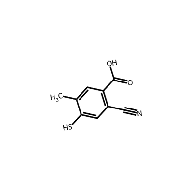 Cc1cc(C(=O)O)c(C#N)cc1S